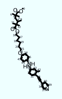 COC(=O)C(C)(C)CC(C)C(C)(C)C(=O)OCCCCCCOc1ccc(NNc2ccc(C#Cc3ccncc3)c(C)c2)cc1